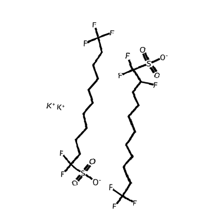 O=S(=O)([O-])C(F)(F)C(F)CCCCCCCCC(F)(F)F.O=S(=O)([O-])C(F)(F)CCCCCCCCCC(F)(F)F.[K+].[K+]